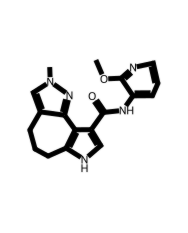 COc1ncccc1NC(=O)c1c[nH]c2c1-c1nn(C)cc1CCC2